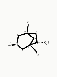 CC(C)N1C[C@H]2C[C@@H](C1)[C@@H](O)C2